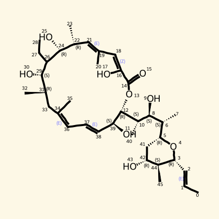 C/C=C/[C@H]1O[C@@H]([C@@H](C)[C@H](O)[C@H](C)[C@H]2OC(=O)/C(O)=C/C(C)=C/[C@@H](C)[C@@H](O)C(CC)[C@@H](O)[C@H](C)C/C(C)=C/C=C/[C@@H]2O)C[C@@H](O)[C@@H]1C